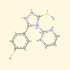 CSc1nnc(-c2ccc(F)cc2)n1-c1ncccn1